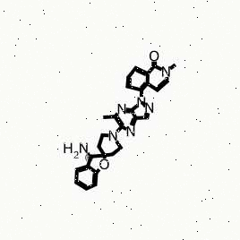 Cc1nc2c(cnn2-c2cccc3c(=O)n(C)ccc23)nc1N1CCC2(CC1)Oc1ccccc1[C@H]2N